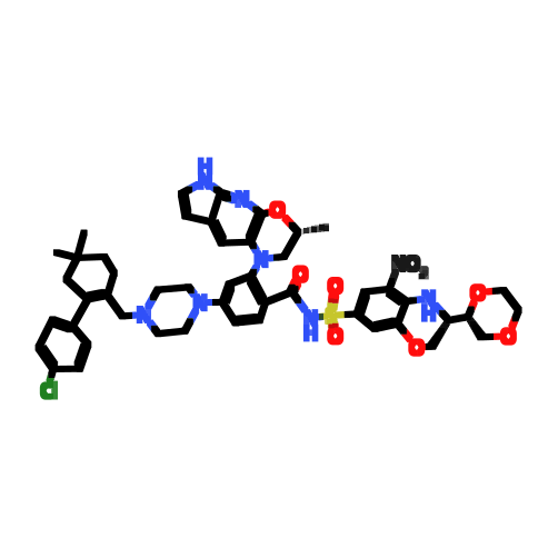 C[C@@H]1CN(c2cc(N3CCN(CC4=C(c5ccc(Cl)cc5)CC(C)(C)CC4)CC3)ccc2C(=O)NS(=O)(=O)c2cc3c(c([N+](=O)[O-])c2)N[C@@H]([C@@H]2COCCO2)CO3)c2cc3cc[nH]c3nc2O1